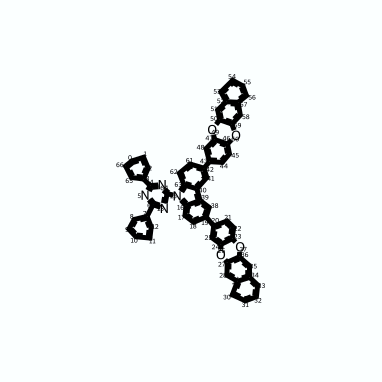 c1ccc(-c2nc(-c3ccccc3)nc(-n3c4ccc(-c5ccc6c(c5)Oc5cc7ccccc7cc5O6)cc4c4cc(-c5ccc6c(c5)Oc5cc7ccccc7cc5O6)ccc43)n2)cc1